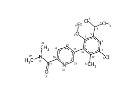 CCOc1c(C(C)Cl)cc(Cl)c(C)c1-c1ccc(C(=O)N(C)C)nc1